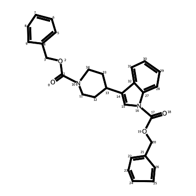 O=C(OCc1ccccc1)N1CCC(c2cn(C(=O)OCc3ccccc3)c3ccccc23)CC1